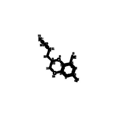 CC(=O)c1cc(F)cc2c1O[C@H](CN=[N+]=[N-])CO2